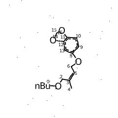 CCCCOCC(C)=CCOc1ccc2c(c1)OCO2